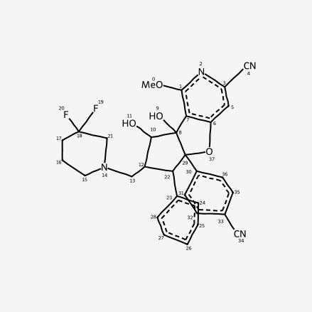 COc1nc(C#N)cc2c1C1(O)C(O)C(CN3CCCC(F)(F)C3)C(c3ccccc3)C1(c1ccc(C#N)cc1)O2